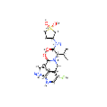 CC(C)[C@H](C(=O)NC1CCS(=O)(=O)C1)N1Cc2c(F)cnc3[nH]cc(c23)C1=O